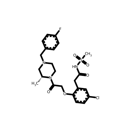 C[C@@H]1CN(Cc2ccc(F)cc2)CCN1C(=O)COc1ccc(Cl)cc1CC(=O)NS(C)(=O)=O